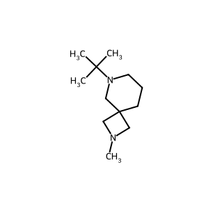 CN1CC2(CCCN(C(C)(C)C)C2)C1